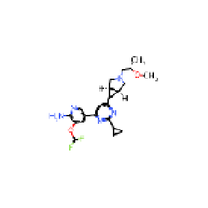 CO[C@@H](C)CN1C[C@@H]2C(c3cc(-c4cnc(N)c(OC(F)F)c4)nc(C4CC4)n3)[C@@H]2C1